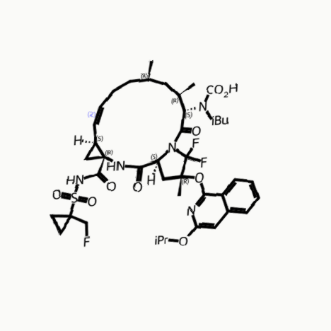 CCC(C)N(C(=O)O)[C@@H]1C(=O)N2[C@@H](C[C@@](C)(Oc3nc(OC(C)C)cc4ccccc34)C2(F)F)C(=O)N[C@]2(C(=O)NS(=O)(=O)C3(CF)CC3)C[C@H]2/C=C\CC[C@@H](C)C[C@H]1C